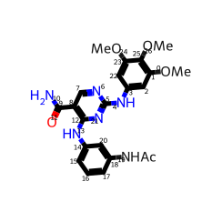 COc1cc(Nc2ncc(C(N)=O)c(Nc3cccc(NC(C)=O)c3)n2)cc(OC)c1OC